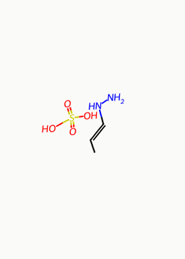 CC=CNN.O=S(=O)(O)O